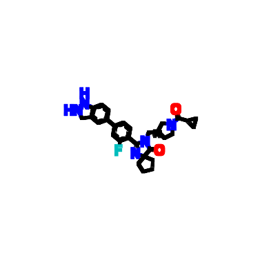 O=C(C1CC1)N1CC[C@@H](CN2C(=O)C3(CCCC3)N=C2c2ccc(-c3ccc4c(c3)CNN4)cc2F)C1